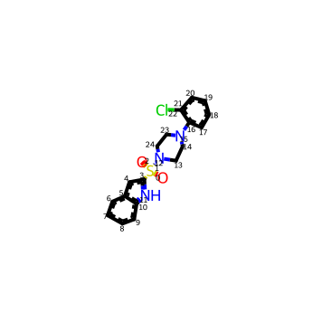 O=S(=O)(c1cc2ccccc2[nH]1)N1CCN(c2ccccc2Cl)CC1